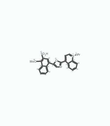 CCC[n+]1ccc(-c2ncc(-c3cc(S(=O)(=O)O)c(OC)c4ccccc34)o2)c2ccccc21